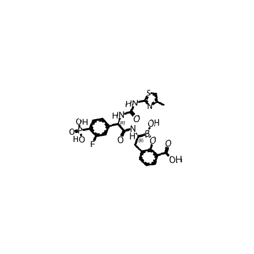 Cc1csc(NC(=O)N[C@@H](C(=O)N[C@H]2Cc3cccc(C(=O)O)c3OB2O)c2ccc(P(=O)(O)O)c(F)c2)n1